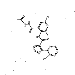 CC(=O)NNC(=O)c1cc(Cl)cc(C)c1NC(=O)c1ccnn1-c1ncccc1Cl